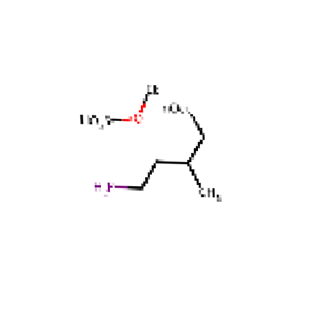 CCCCCCCCCC(C)CCP.CCOS(=O)(=O)O